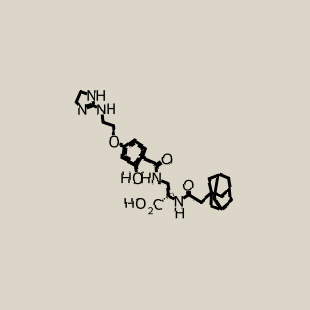 O=C(CC12CC3CC(CC(C3)C1)C2)N[C@@H](CNC(=O)c1ccc(OCCNC2=NCCN2)cc1O)C(=O)O